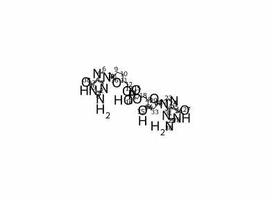 Nc1nc2c(ncn2[C@H]2CCC(COP(=O)(O)OCC3O[C@@H](n4cnc5c(=O)[nH]c(N)nc54)C[C@H]3O)O2)c(=O)[nH]1